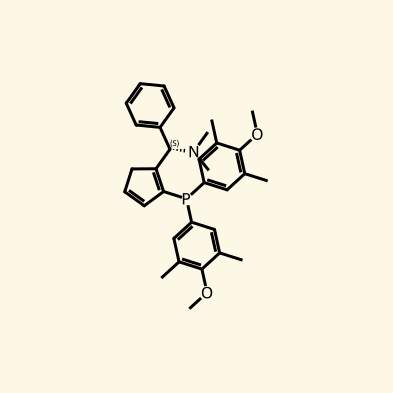 COc1c(C)cc(P(C2=C([C@H](c3ccccc3)N(C)C)CC=C2)c2cc(C)c(OC)c(C)c2)cc1C